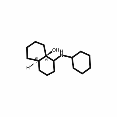 O[C@]12CCCC[C@@H]1CCCC2NC1CCCCC1